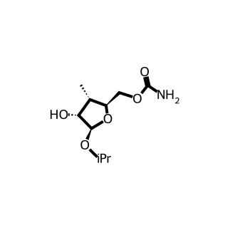 CC(C)O[C@@H]1O[C@H](COC(N)=O)[C@@H](C)[C@H]1O